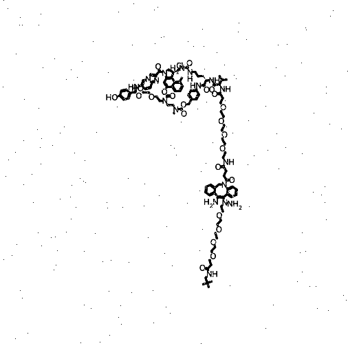 Cc1cccc2c(OC(=O)N(CCOCCO)CCN(C)C(=O)OCc3ccc(NC(=O)[C@H](CCCNC(N)=O)NC(=O)[C@@H](NC(=O)CCOCCOCCOCCOCCNC(=O)CCC(=O)N4Cc5ccccc5/C(N)=C(/N(N)CCOCCOCCOCCOCCC(=O)NCC(C)(C)C)c5ccccc54)C(C)C)cc3)cc3c(c12)[C@H](CCl)CN3C(=O)c1cn2cc(NC(=O)c3ccc(O)cc3)ccc2n1